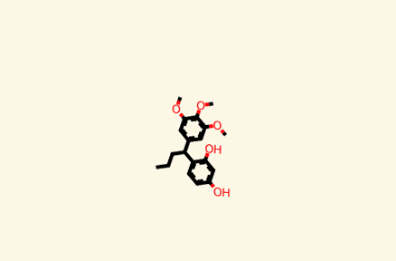 CCCC(c1cc(OC)c(OC)c(OC)c1)c1ccc(O)cc1O